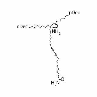 CCCCCCCCCCCCCCCCCCC(CCCCCCCC#CC#CCCCCCCCCC(N)=O)(CCCCCCCCCCCCCCCCCC)C(N)=O